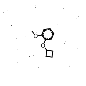 COc1ccccc1OC1CCC1